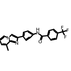 Cc1cccn2cc(-c3ccc(NC(=O)c4ccc(C(F)(F)F)cc4)cc3)nc12